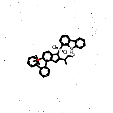 CCC(C)C1=Cc2c(ccc(C(C)(C)C)c2-c2ccccc2-c2ccccc2)[CH]1[Zr]([Cl])([Cl])[c]1cccc2c1[SiH2]c1ccccc1-2